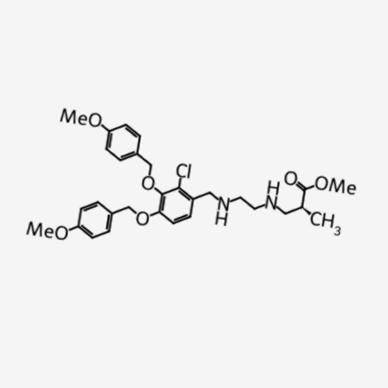 COC(=O)[C@@H](C)CNCCNCc1ccc(OCc2ccc(OC)cc2)c(OCc2ccc(OC)cc2)c1Cl